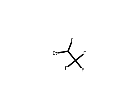 CC[C](F)C(F)(F)F